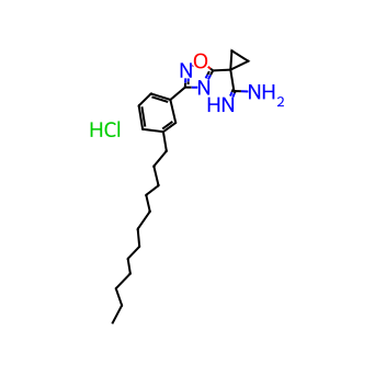 CCCCCCCCCCCCc1cccc(-c2noc(C3(C(=N)N)CC3)n2)c1.Cl